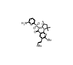 CCCCC=Cc1cc(C(=O)NS(=O)(=O)c2cccc(N)n2)c(N2C[C@@H](C)CC2(C)C)nc1C(C)(C)C